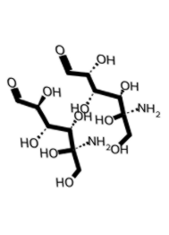 N[C@@](O)(CO)[C@@H](O)[C@H](O)[C@@H](O)C=O.N[C@@](O)(CO)[C@@H](O)[C@H](O)[C@H](O)C=O